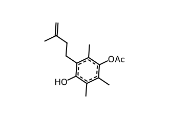 C=C(C)CCc1c(C)c(OC(C)=O)c(C)c(C)c1O